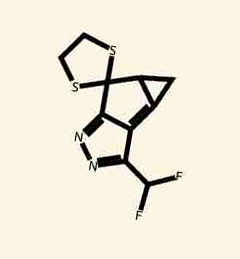 FC(F)C1=NN=C2C1=C1CC1C21SCCS1